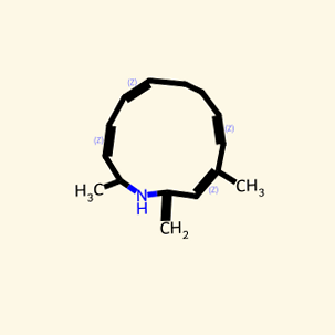 C=C1/C=C(C)\C=C/CC/C=C\C=C/C(C)N1